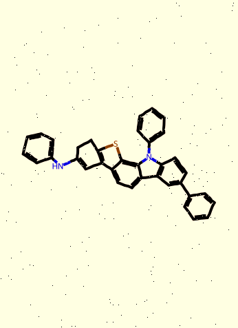 C1=C(Nc2ccccc2)CCc2sc3c(ccc4c5cc(-c6ccccc6)ccc5n(-c5ccccc5)c43)c21